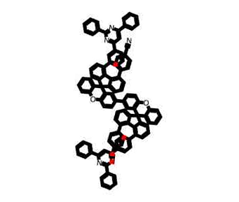 N#Cc1ccc(-c2cccc3c2-c2c(-c4ccc(-c5cc(-c6ccccc6)nc(-c6ccccc6)n5)cc4)cccc2C32c3ccccc3Oc3ccc(-c4ccc5c(c4)C4(c6ccccc6O5)c5cccc(-c6ccc(C#N)cc6)c5-c5c(-c6cccc(-c7cc(-c8ccccc8)nc(-c8ccccc8)n7)c6)cccc54)cc32)cc1